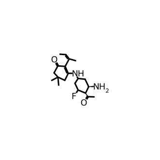 C/C=C(/C)C1=C(NC2CC(F)[C@H](C(C)=O)[C@H](N)C2)CC(C)(C)CC1=O